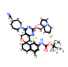 CC(C)(C)OC(=O)Nc1cc(Cl)c2c(c1F)C1(CCC2)Cc2nc(OC[C@@]34CCCN3C[C@H](F)C4)nc(N3CCC[C@@H](C#N)CC3)c2CO1